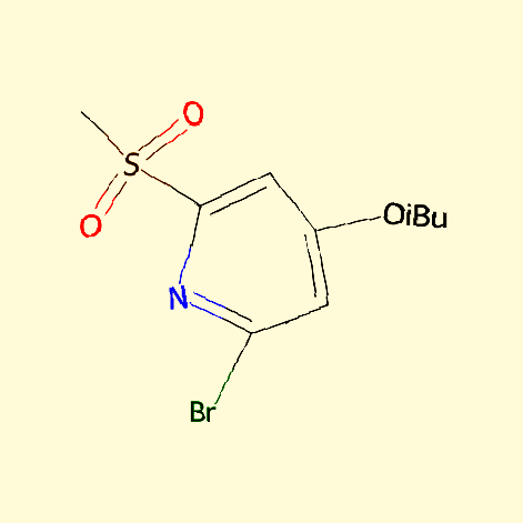 CC(C)COc1cc(Br)nc(S(C)(=O)=O)c1